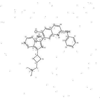 CN(C)CC1CC(C2=C3C=NC=C[N+]3(N)C(c3cc4nc(Nc5ccccc5)ccc4cc3Cl)=N2)C1